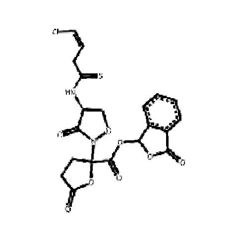 O=C1CCC(C(=O)OC2OC(=O)c3ccccc32)(N2OC[C@H](NC(=S)C/C=C\Cl)C2=O)O1